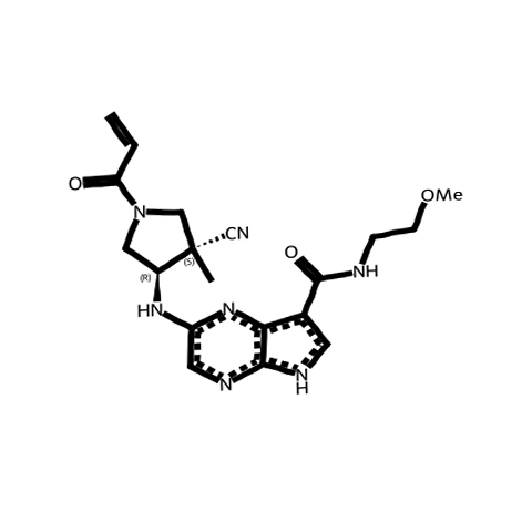 C=CC(=O)N1C[C@H](Nc2cnc3[nH]cc(C(=O)NCCOC)c3n2)[C@@](C)(C#N)C1